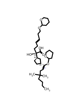 CCCCC(C)(C)C/C=C(/OC1CCCCO1)[C@@H]1CC[C@@H]([C@](O)(CCC=CCCOC2CCCCO2)C(=O)O)C1